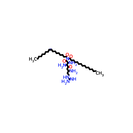 CCCCCCCC/C=C\CCCCCCCC(=O)N(C(=O)CCCCCCCCCCCCCCC)C(=O)C(N)C(N)C(=O)C[C@H](N)CCNC(=N)N